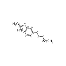 COCCCc1ccc2[nH]c(C)cc2c1